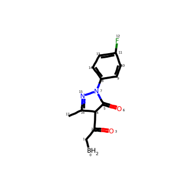 BCC(=O)C1C(=O)N(c2ccc(F)cc2)N=C1C